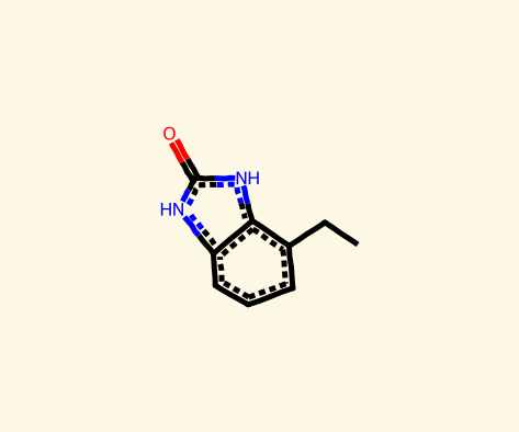 CCc1cccc2[nH]c(=O)[nH]c12